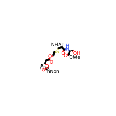 CCCCCCCCCCC[C@H](CC(=O)OCCSC[C@H](NC(C)=O)C(=O)N[C@@H](CO)C(=O)OC)OC(=O)CCCCCCCCC